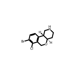 Clc1c(Br)ccc2c1CO[C@@H]1CCNC[C@@H]21